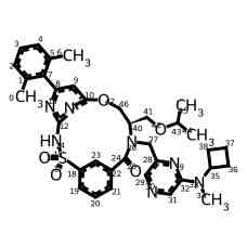 Cc1cccc(C)c1-c1cc2nc(n1)NS(=O)(=O)c1cccc(c1)C(=O)N(Cc1cncc(N(C)C3CCC3)n1)[C@H](COC(C)C)CO2